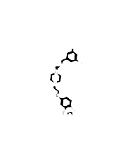 O=C(OCc1cc(Br)cc(Br)c1)N1CCN(CC[S@@+]([O-])c2ccc3nn[nH]c3c2)CC1